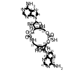 Nc1ncnc2c1ncn2[C@@H]1O[C@@H]2CO[P@](=O)(S)O[C@@H]3[C@H](F)[C@@H](CNS(=O)(=O)O[C@H]2[C@H]1F)O[C@H]3n1cnc2c(N)ncnc21